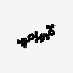 COC(=O)C(C)NC(=O)Cc1cccc(NC(=O)c2cc(NC(=O)c3cccc([N+](=O)[O-])c3)cn2C)c1